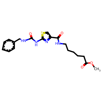 COC(=O)CCCCCNC(=O)c1csc(NC(=O)NCc2ccccc2)n1